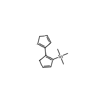 [CH3][Sn]([CH3])([CH3])[C]1=C(C2=[C]CC=C2)CC=C1